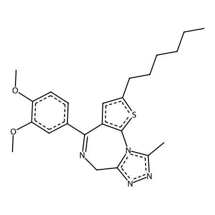 CCCCCCc1cc2c(s1)-n1c(C)nnc1CN=C2c1ccc(OC)c(OC)c1